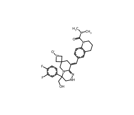 CN(C)C(=O)N1CCCc2cc(/C=C3\CC4(CN5C3=NNCC5(CO)c3ccc(F)c(F)c3)C[S+]([O-])C4)ccc21